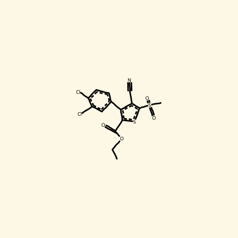 CCOC(=O)c1sc(S(C)(=O)=O)c(C#N)c1-c1ccc(Cl)c(Cl)c1